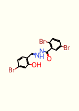 O=C(N/N=C/c1ccc(Br)cc1O)c1cc(Br)ccc1Br